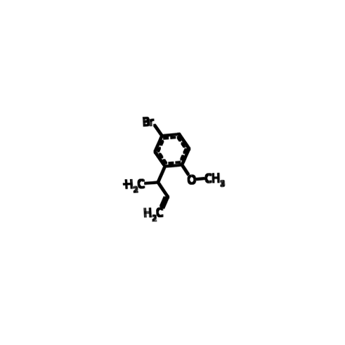 [CH2]C(C=C)c1cc(Br)ccc1OC